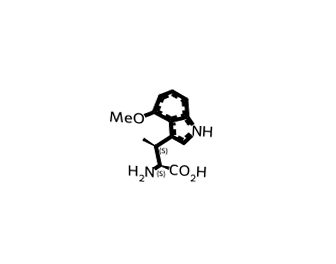 COc1cccc2[nH]cc([C@H](C)[C@H](N)C(=O)O)c12